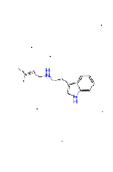 CC(C)=CCNCCc1c[nH]c2ccccc12